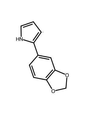 [c]1cc[nH]c1-c1ccc2c(c1)OCO2